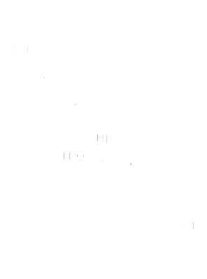 CCCCC[CH2][Hf][CH2]CCCCC.O